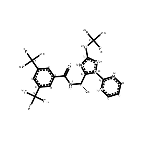 C[C@H](NC(=O)c1cc(C(F)(F)F)cc(C(F)(F)F)c1)c1nc(OC(F)(F)F)nn1-c1ncccn1